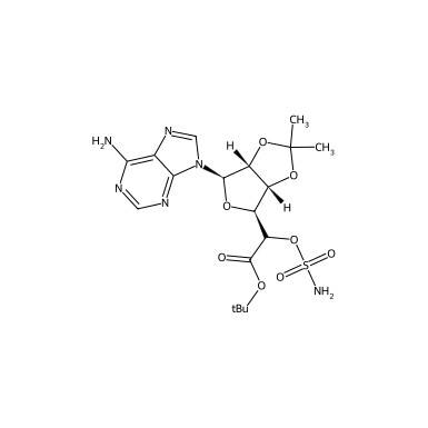 CC(C)(C)OC(=O)C(OS(N)(=O)=O)[C@H]1O[C@@H](n2cnc3c(N)ncnc32)[C@@H]2OC(C)(C)O[C@@H]21